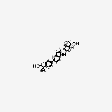 OCC1(c2ccc(-c3ccc4[nH]c(C[C@H]5CO[C@H]6[C@@H]5OC[C@H]6O)cc4n3)cc2)CC1